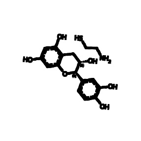 NCCS.Oc1cc(O)c2c(c1)O[C@H](c1ccc(O)c(O)c1)[C@@H](O)C2